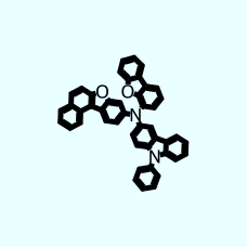 c1ccc(-n2c3ccccc3c3cc(N(c4ccc5c(c4)oc4ccc6ccccc6c45)c4cccc5c4oc4ccccc45)ccc32)cc1